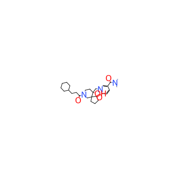 CN(C)C(=O)c1ccc(=O)n(CC2(O)CCN(C(=O)CCC3CCCCC3)CC23CCCC3)c1